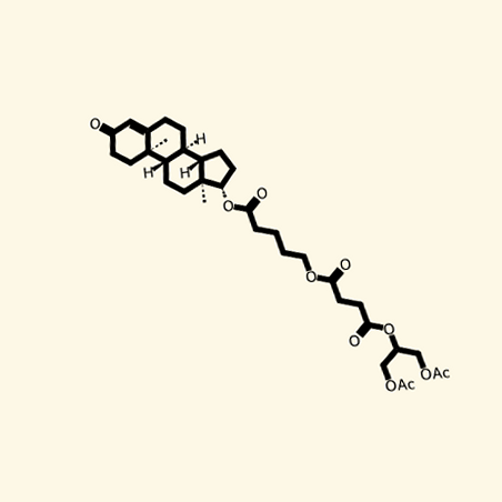 CC(=O)OCC(COC(C)=O)OC(=O)CCC(=O)OCCCCC(=O)O[C@H]1CC[C@H]2[C@@H]3CCC4=CC(=O)CC[C@]4(C)[C@H]3CC[C@]12C